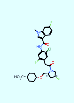 Cn1cc(C(=O)Nc2cc(F)c(CC(=O)N3C[C@@H](F)C[C@H]3CO[C@H]3CC[C@H](C(=O)O)CC3)cc2Cl)c2ccc(F)cc21